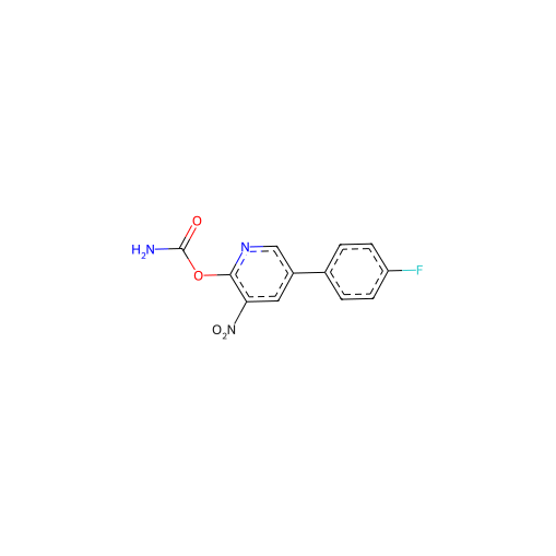 NC(=O)Oc1ncc(-c2ccc(F)cc2)cc1[N+](=O)[O-]